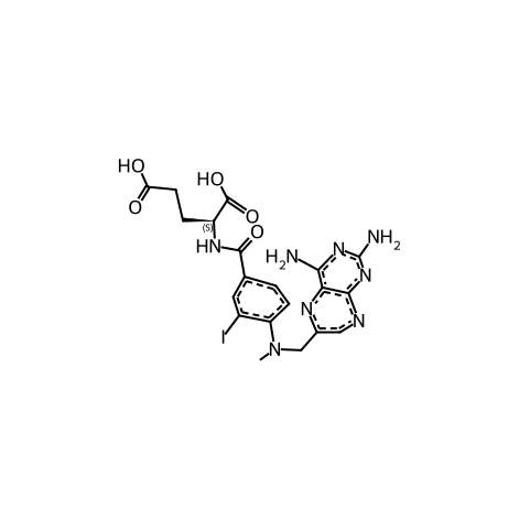 CN(Cc1cnc2nc(N)nc(N)c2n1)c1ccc(C(=O)N[C@@H](CCC(=O)O)C(=O)O)cc1I